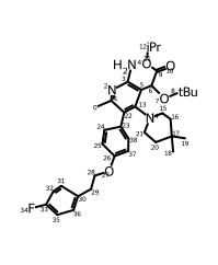 Cc1nc(N)c(C(OC(C)(C)C)C(=O)OC(C)C)c(N2CCC(C)(C)CC2)c1-c1ccc(OCCc2ccc(F)cc2)cc1